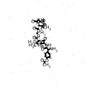 CC(=O)Oc1ccc(C(N)C(=O)N[C@@H]2C(=O)N3[C@@H]2SC(C)(C)[C@@H]3C(=O)OCOC(=O)[C@@H]2N3C(=O)C[C@H]3S(=O)(=O)C2(C)C)cc1